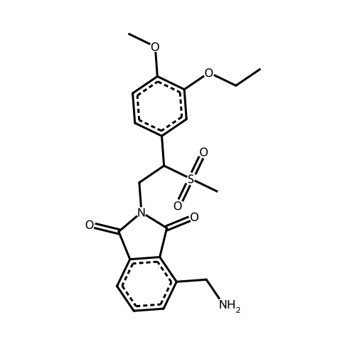 CCOc1cc(C(CN2C(=O)c3cccc(CN)c3C2=O)S(C)(=O)=O)ccc1OC